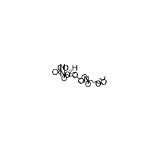 Cc1cccc(OCCCC(=O)N2CCCc3c(-c4cccc(COC(=O)NCC5(CC(=O)O)CCCCC5)c4)cccc32)c1C